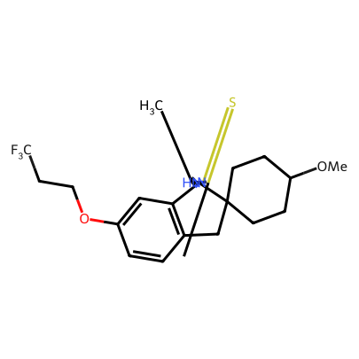 COC1CCC2(CC1)Cc1ccc(OCCC(F)(F)F)cc1C21N=C(C)C(=S)N1